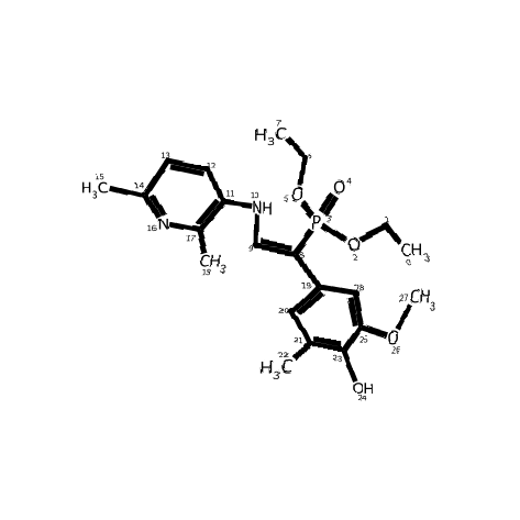 CCOP(=O)(OCC)C(=CNc1ccc(C)nc1C)c1cc(C)c(O)c(OC)c1